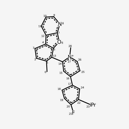 Cc1ccc2c(oc3ncccc32)c1-c1cc(-c2ccc(F)c(C(C)C)c2)cc[n+]1C